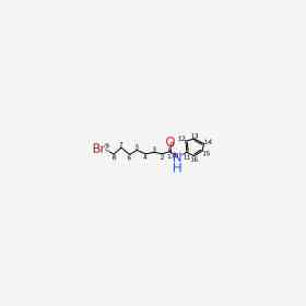 O=C(CCCCCCCBr)Nc1ccccc1